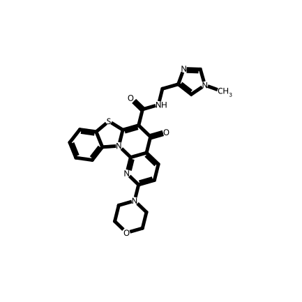 Cn1cnc(CNC(=O)c2c(=O)c3ccc(N4CCOCC4)nc3n3c2sc2ccccc23)c1